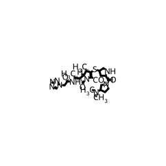 C[C@@H](NC(=O)Cn1cnnn1)[C@H]1C(=O)N2C(C(=O)O)=C(SC3CNC(C(=O)N4CCC(N(C)C)C4)C3)[C@H](C)[C@@H]12